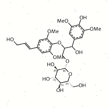 COc1cc(C(O)C(CO[C@@H]2O[C@H](CO)[C@@H](O)[C@H](O)[C@H]2O)Oc2c(OC)cc(C=CCO)cc2OC)cc(OC)c1O